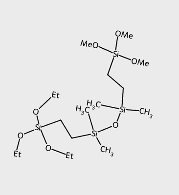 CCO[Si](CC[Si](C)(C)O[Si](C)(C)CC[Si](OC)(OC)OC)(OCC)OCC